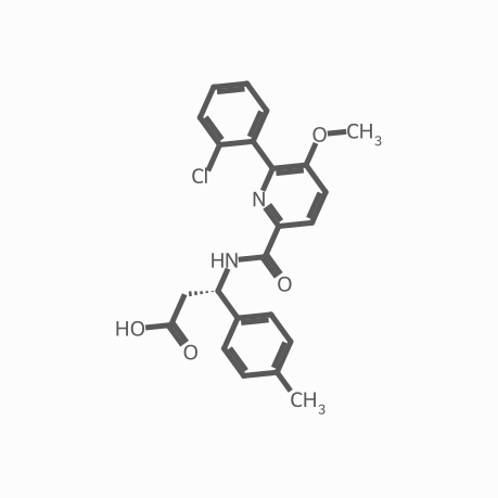 COc1ccc(C(=O)N[C@@H](CC(=O)O)c2ccc(C)cc2)nc1-c1ccccc1Cl